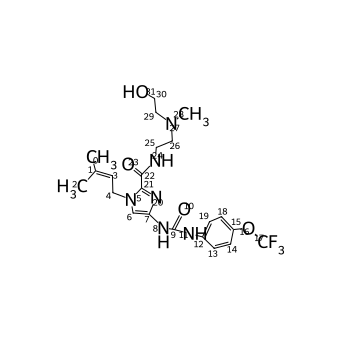 CC(C)=CCn1cc(NC(=O)Nc2ccc(OC(F)(F)F)cc2)nc1C(=O)NCCN(C)CCO